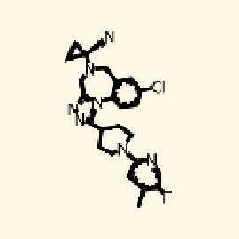 Cc1cc(N2CCC(c3nnc4n3-c3ccc(Cl)cc3CN(C3(C#N)CC3)C4)CC2)ncc1F